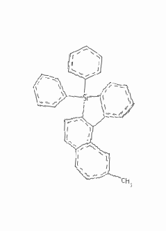 Cc1ccc2ccc3c(c2c1)-c1ccccc1[Si]3(c1ccccc1)c1ccccc1